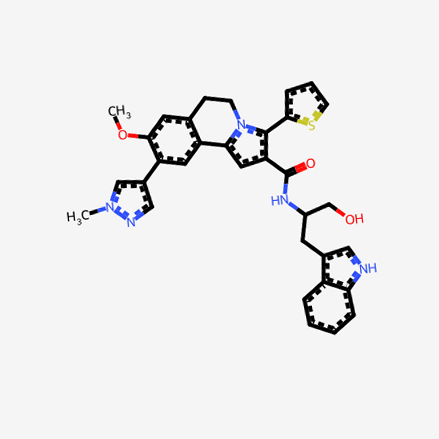 COc1cc2c(cc1-c1cnn(C)c1)-c1cc(C(=O)NC(CO)Cc3c[nH]c4ccccc34)c(-c3cccs3)n1CC2